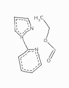 CCOC=O.c1ccc(-n2cccn2)nc1